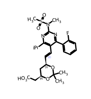 CC(C)c1nc(N(C)S(C)(=O)=O)nc(-c2ccccc2F)c1/C=C/[C@@H]1C[C@H](CC(=O)O)OC(C)(C)O1